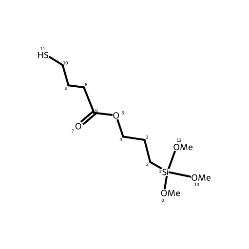 CO[Si](CCCOC(=O)CCCS)(OC)OC